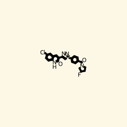 O=C(c1ccc(-n2cc(-c3cc4cc(Cl)ccc4[nH]c3=O)nn2)cc1)N1CCC(F)C1